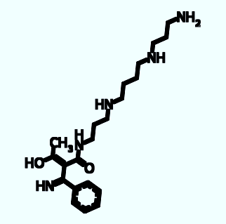 C/C(O)=C(/C(=N)c1ccccc1)C(=O)NCCCNCCCCNCCCN